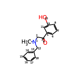 CN(CC(=O)c1cccc(O)c1)Cc1ccccc1